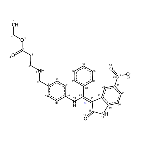 CCOC(=O)CCNCc1ccc(N/C(=C2\C(=O)Nc3ccc([N+](=O)[O-])cc32)c2ccccc2)cc1